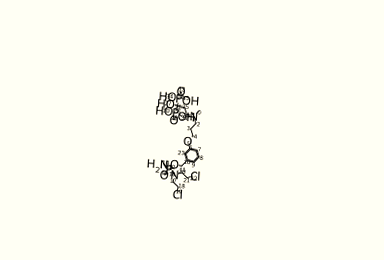 CN(CCCOc1cccc(COP(N)(=O)N(CCCl)CCCl)c1)CCC(O)(P(=O)(O)O)P(=O)(O)O